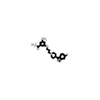 CC(=O)c1cc(C)cc(OCCCN2CCC(c3noc4cc(F)ccc34)CC2)c1